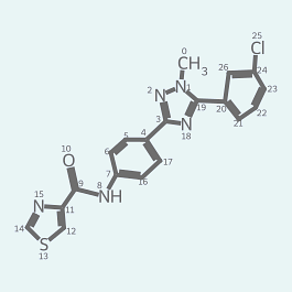 Cn1nc(-c2ccc(NC(=O)c3cscn3)cc2)nc1-c1cccc(Cl)c1